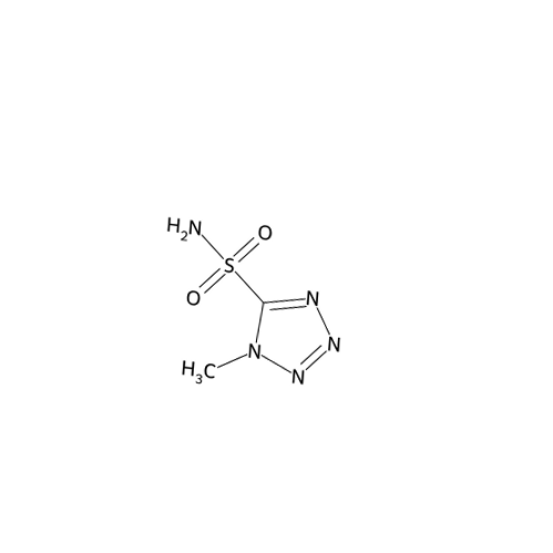 Cn1nnnc1S(N)(=O)=O